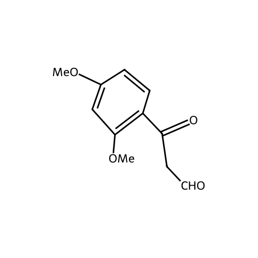 COc1ccc(C(=O)CC=O)c(OC)c1